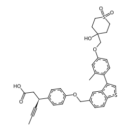 CC#C[C@@H](CC(=O)O)c1ccc(OCc2ccc3scc(-c4ccc(OCC5(O)CCS(=O)(=O)CC5)cc4C)c3c2)cc1